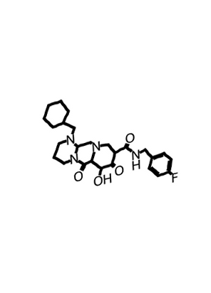 O=C(NCc1ccc(F)cc1)C1CN2CC3N(CC4CCCCC4)CCCN3C(=O)C2C(O)C1=O